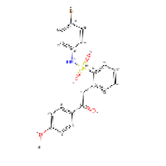 COc1ccc(C(=O)Cc2ccccc2S(=O)(=O)Nc2ccc(Br)cc2)cc1